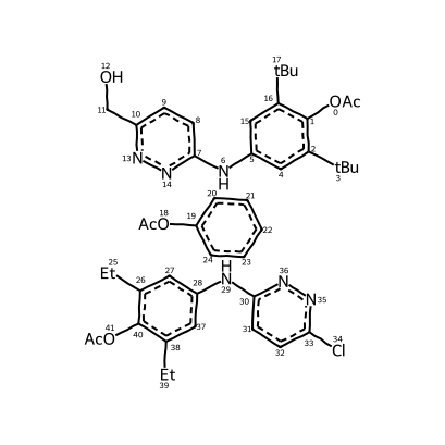 CC(=O)Oc1c(C(C)(C)C)cc(Nc2ccc(CO)nn2)cc1C(C)(C)C.CC(=O)Oc1ccccc1.CCc1cc(Nc2ccc(Cl)nn2)cc(CC)c1OC(C)=O